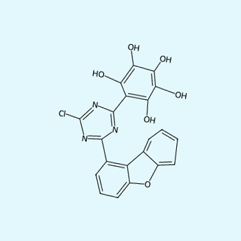 Oc1c(O)c(O)c(-c2nc(Cl)nc(-c3cccc4oc5ccccc5c34)n2)c(O)c1O